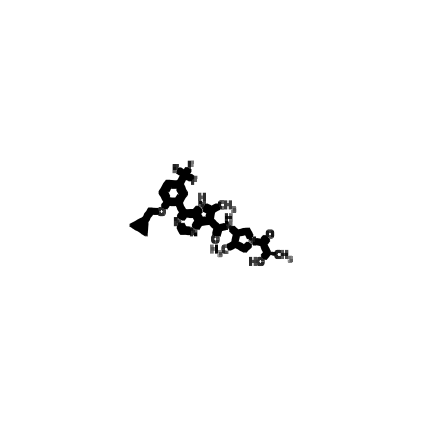 Cc1[nH]c2c(-c3cc(C(F)(F)F)ccc3OCC3CC3)ncnc2c1C(=O)NC1CN(C(=O)[C@H](C)O)CC1C